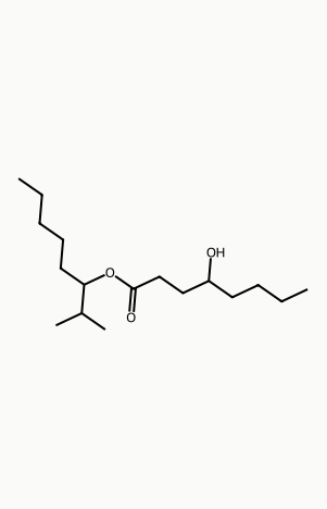 CCCCCC(OC(=O)CCC(O)CCCC)C(C)C